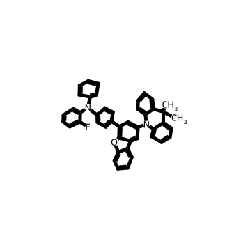 CC1(C)c2ccccc2N(c2cc(-c3ccc(N(c4ccccc4)c4ccccc4F)cc3)c3oc4ccccc4c3c2)c2ccccc21